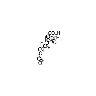 CC1(C)COCC1n1c(Cc2cc(F)c(-c3cccc(OCc4ccc(Cl)c(F)c4)n3)cc2F)nc2ccc(C(=O)O)cc21